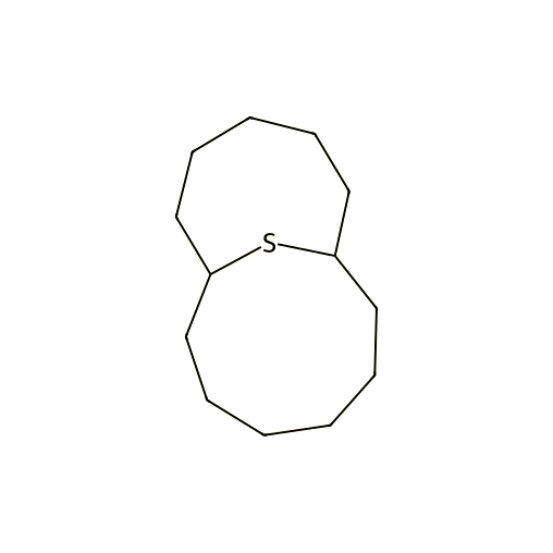 C1CCCC2CCCCCC(CC1)S2